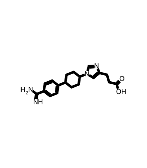 N=C(N)c1ccc(C2CCC(n3cnc(CCC(=O)O)c3)CC2)cc1